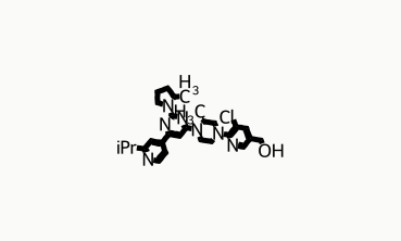 CC(C)c1cc(-c2cc(N3CCN(c4ncc(CO)cc4Cl)C[C@H]3C)nc(N3CCCC3C)n2)ccn1